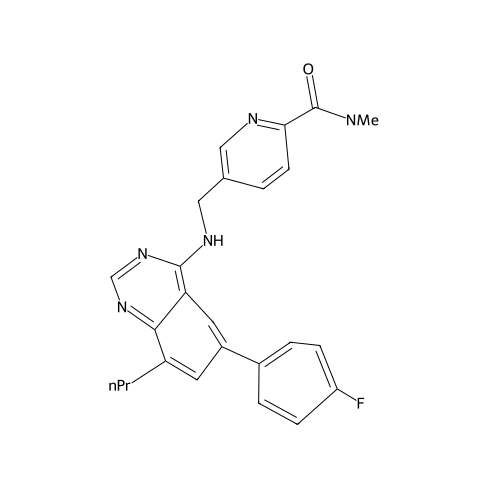 CCCc1cc(-c2ccc(F)cc2)cc2c(NCc3ccc(C(=O)NC)nc3)ncnc12